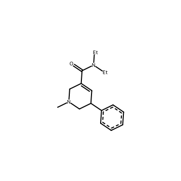 CCN(CC)C(=O)C1=CC(c2ccccc2)CN(C)C1